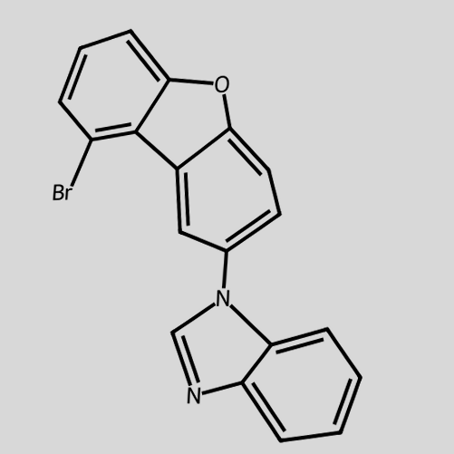 Brc1cccc2oc3ccc(-n4cnc5ccccc54)cc3c12